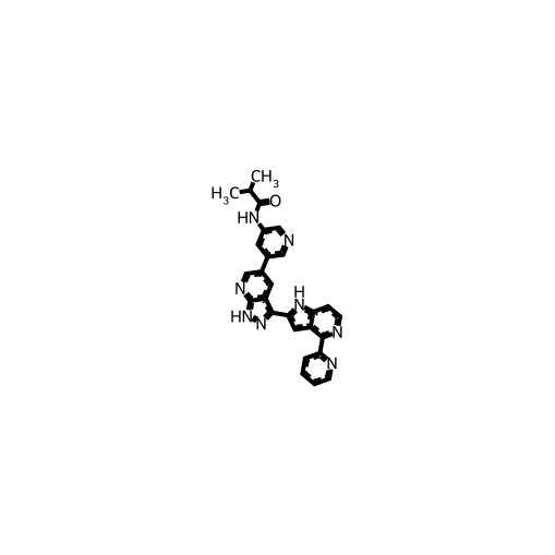 CC(C)C(=O)Nc1cncc(-c2cnc3[nH]nc(-c4cc5c(-c6ccccn6)nccc5[nH]4)c3c2)c1